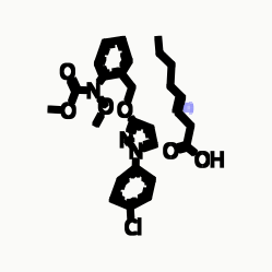 CCCC/C=C/CC(=O)O.COC(=O)N(OC)c1ccccc1COc1ccn(-c2ccc(Cl)cc2)n1